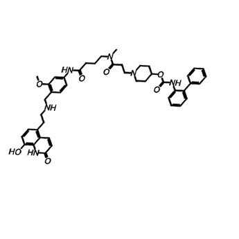 COc1cc(NC(=O)CCCN(C)C(=O)CCN2CCC(OC(=O)Nc3ccccc3-c3ccccc3)CC2)ccc1CNCCc1ccc(O)c2[nH]c(=O)ccc12